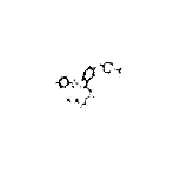 CC(=O)N1CCC(Oc2ccc3c(c2)c(CN(C)CCN(C)C(=O)OC(C)(C)C)nn3S(=O)(=O)c2ccc(C)cc2)CC1